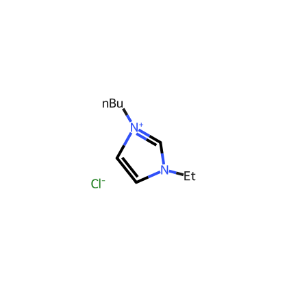 CCCC[n+]1ccn(CC)c1.[Cl-]